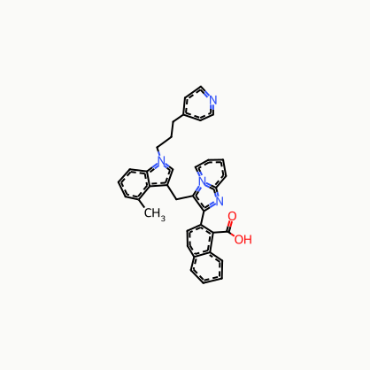 Cc1cccc2c1c(Cc1c(-c3ccc4ccccc4c3C(=O)O)nc3ccccn13)cn2CCCc1ccncc1